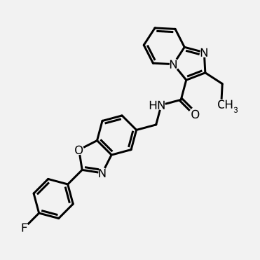 CCc1nc2ccccn2c1C(=O)NCc1ccc2oc(-c3ccc(F)cc3)nc2c1